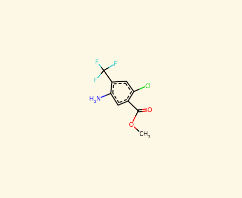 COC(=O)c1cc(N)c(C(F)(F)F)cc1Cl